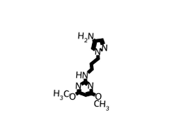 COc1cc(OC)nc(NCCCn2cc(N)cn2)n1